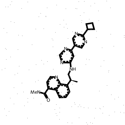 CNC(=O)c1ccnc2c([C@H](C)CNc3cc(-c4cnc(C5CCC5)nc4)ncn3)cccc12